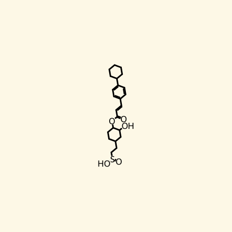 O=C(/C=C/c1ccc(C2CCCCC2)cc1)OC1CCC(CCS(=O)O)CC1O